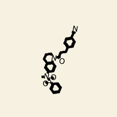 CN(c1ccc2c(c1)CCCN2C(=O)CCc1ccc(C#N)cc1)S(=O)(=O)c1ccccc1